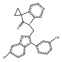 N#Cc1cccc(-n2c(CN3C(=O)C4(CC4)c4ccncc43)nc3cc(Cl)ccc32)c1